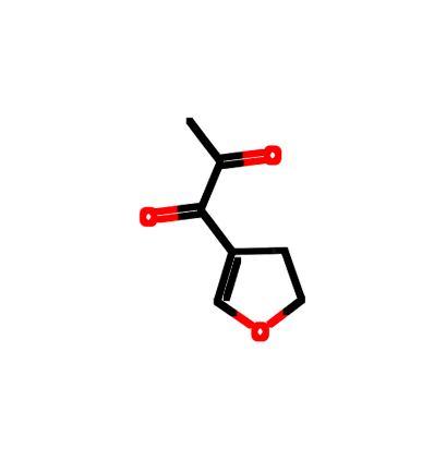 CC(=O)C(=O)C1=COCC1